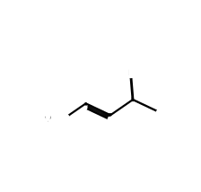 CO/C=C/C(C)F